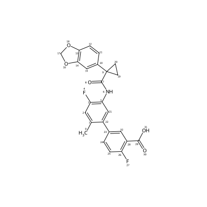 Cc1cc(F)c(NC(=O)C2(c3ccc4c(c3)OCO4)CC2)cc1-c1ccc(F)c(C(=O)O)c1